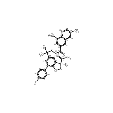 CC[C@]1(C(N)=O)COc2c1cc(C(O)(CNC(=O)c1cc(OC)c3ncc(C(F)(F)F)cc3c1)C(F)(F)F)nc2-c1ccc(F)cc1